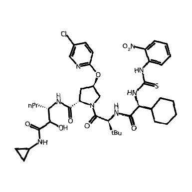 CCC[C@H](NC(=O)[C@@H]1C[C@@H](Oc2ccc(Cl)cn2)CN1C(=O)[C@@H](NC(=O)[C@@H](NC(=S)Nc1ccccc1[N+](=O)[O-])C1CCCCC1)C(C)(C)C)C(O)C(=O)NC1CC1